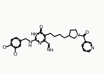 N=Cc1nc(NCc2ccc(Cl)c(Cl)c2)[nH]c(=O)c1CCCCC1CCN(C(=O)c2cccnc2)C1